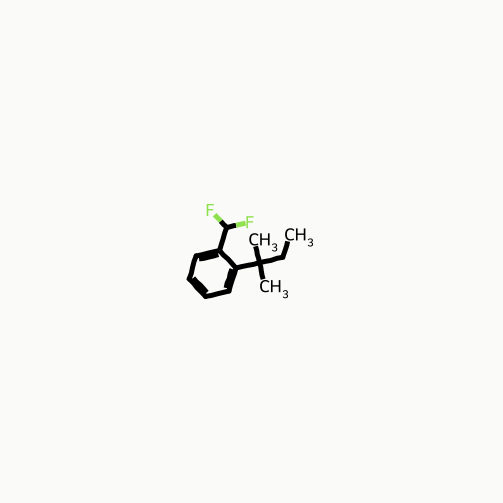 CCC(C)(C)c1ccccc1C(F)F